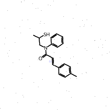 Cc1ccc(/C=C/C(=O)N(CC(C)S)c2ccccc2)cc1